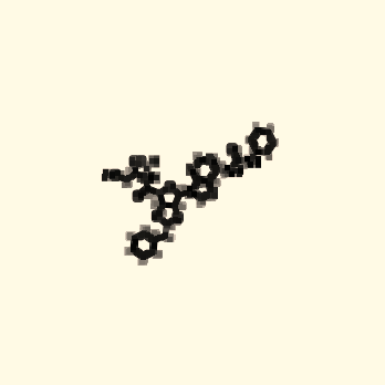 O=C(Nc1ccccc1)Nc1ncnc2c1ncn2C1OC(C(=O)NC(CO)C(=O)O)C2OC(Cc3ccccc3)OC21